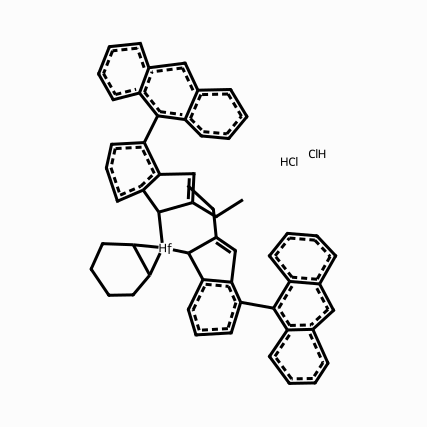 CCC1=Cc2c(-c3c4ccccc4cc4ccccc34)cccc2[CH]1[Hf]1([CH]2C(CC)=Cc3c(-c4c5ccccc5cc5ccccc45)cccc32)[CH]2CCCC[CH]21.Cl.Cl